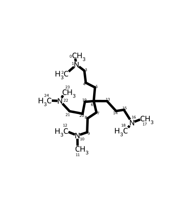 CN(C)CCCC(CCCN(C)C)(CCCN(C)C)CCCN(C)C